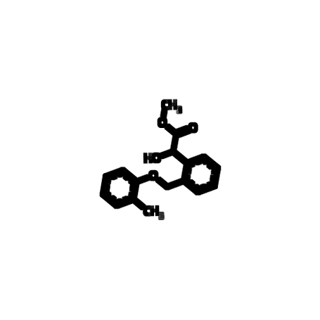 COC(=O)C(O)c1ccccc1COc1ccccc1C